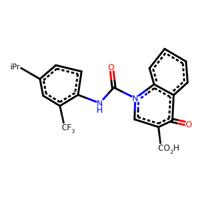 CC(C)c1ccc(NC(=O)n2cc(C(=O)O)c(=O)c3ccccc32)c(C(F)(F)F)c1